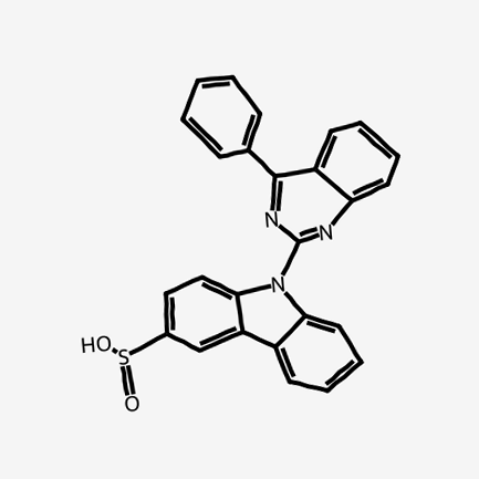 O=S(O)c1ccc2c(c1)c1ccccc1n2-c1nc(-c2ccccc2)c2ccccc2n1